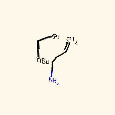 C=CCN.CCCCCC(C)C